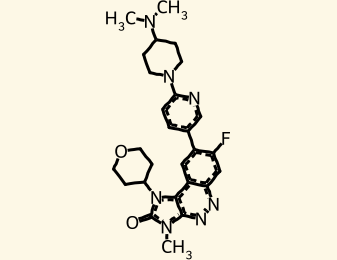 CN(C)C1CCN(c2ccc(-c3cc4c(cc3F)nnc3c4n(C4CCOCC4)c(=O)n3C)cn2)CC1